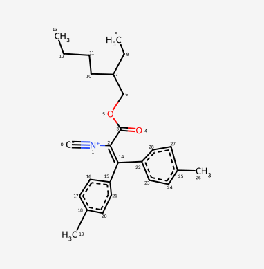 [C-]#[N+]C(C(=O)OCC(CC)CCCC)=C(c1ccc(C)cc1)c1ccc(C)cc1